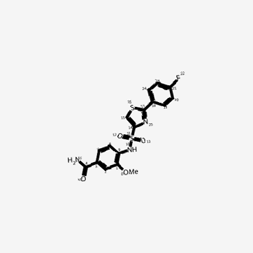 COc1cc(C(N)=O)ccc1NS(=O)(=O)c1csc(-c2ccc(F)cc2)n1